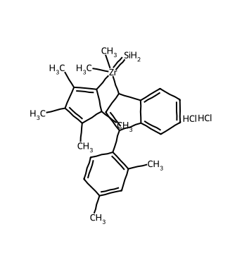 CC1=C(C)C(C)[C]([Zr]([CH3])([CH3])(=[SiH2])[CH]2C=C(c3ccc(C)cc3C)c3ccccc32)=C1C.Cl.Cl